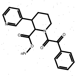 CCCOC(=O)C1C(c2cccnc2)CCCN1C(=O)C(=O)c1ccccc1